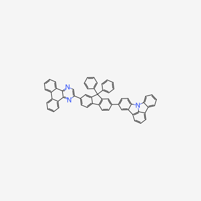 c1ccc(C2(c3ccccc3)c3cc(-c4ccc5c(c4)c4cccc6c7ccccc7n5c64)ccc3-c3ccc(-c4cnc5c6ccccc6c6ccccc6c5n4)cc32)cc1